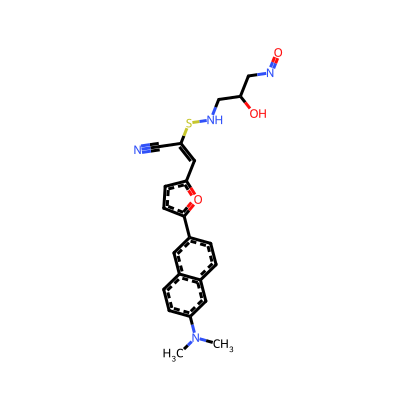 CN(C)c1ccc2cc(-c3ccc(/C=C(\C#N)SNCC(O)CN=O)o3)ccc2c1